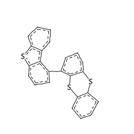 c1ccc2c(c1)Sc1cccc(-c3cccc4sc5ccccc5c34)c1S2